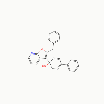 OC1(c2c(Cc3ccccc3)oc3ncccc23)C=CC(c2ccccc2)=CC1